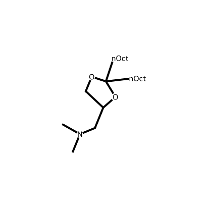 CCCCCCCCC1(CCCCCCCC)OCC(CN(C)C)O1